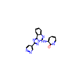 O=c1nccccc1Nc1nc2ccccc2c2nc(-c3ccnnc3)nn12